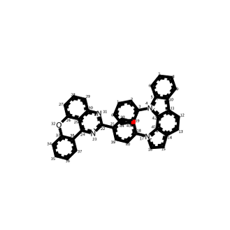 c1ccc(-n2c3ccccc3c3ccc4ccn(-c5ccc(-c6nc7c8c(cccc8n6)Oc6ccccc6-7)cc5)c4c32)cc1